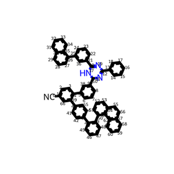 N#Cc1ccc(-c2cccc(C3N=C(c4ccccc4)N=C(c4cccc(-c5cccc6ccccc56)c4)N3)c2)c(-c2ccc(-c3ccccc3-c3cccc4ccc5ccccc5c34)cc2)c1